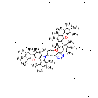 Bc1c(B)c(-c2ncnc3c2oc2ccc(-n4c5c(B)c(B)c(B)c(B)c5c5c6oc7c(B)c(B)c(B)c(B)c7c6c(B)c(B)c54)cc23)c(B)c(-c2c(B)c(B)c(B)c3c2oc2c(B)c(B)c(B)c(B)c23)c1B